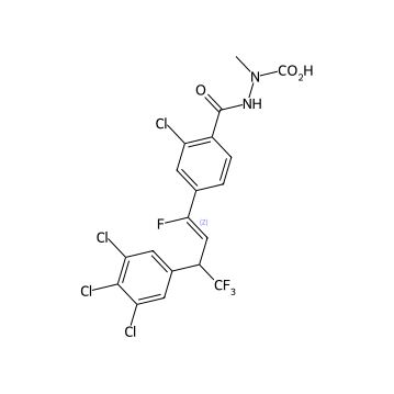 CN(NC(=O)c1ccc(/C(F)=C/C(c2cc(Cl)c(Cl)c(Cl)c2)C(F)(F)F)cc1Cl)C(=O)O